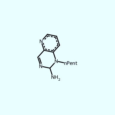 CCCCCN1c2cccnc2C=NC1N